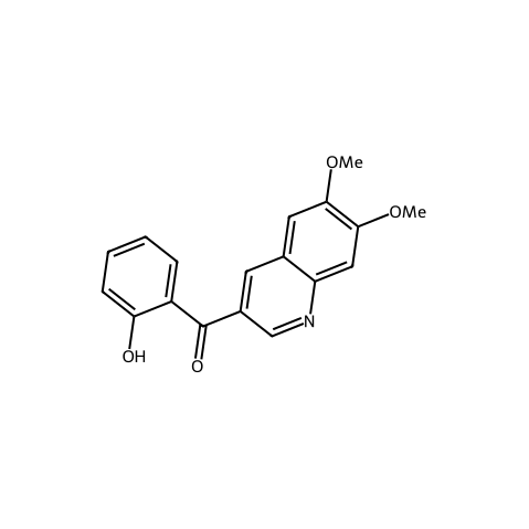 COc1cc2cc(C(=O)c3ccccc3O)cnc2cc1OC